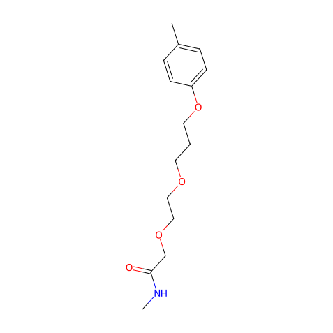 CNC(=O)COCCOCCCOc1ccc(C)cc1